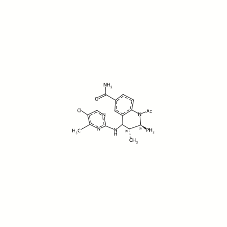 CC(=O)N1c2ccc(C(N)=O)cc2C(Nc2ncc(Cl)c(C)n2)[C@@H](C)[C@@H]1P